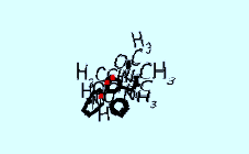 CC(=O)N1c2ccc(N3C[C@H]4CC[C@@H](C3)N4C(=O)OC(C)(C)C)cc2[C@H](Nc2ccccc2)C(C)[C@@H]1C